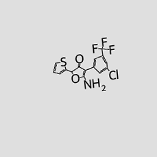 NC1=C(c2cc(Cl)cc(C(F)(F)F)c2)C(=O)C(c2cccs2)O1